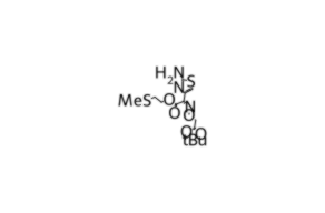 CSCCOC(=O)C(=NOCC(=O)OC(C)(C)C)c1csc(N)n1